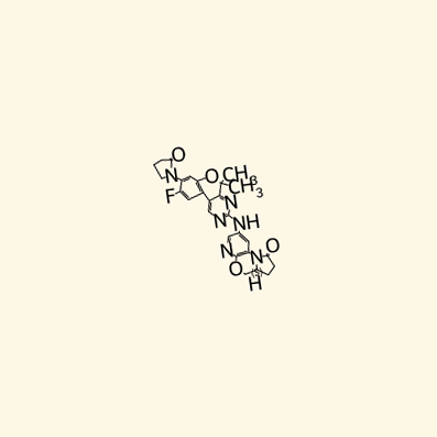 CC1(C)Oc2cc(N3CCCC3=O)c(F)cc2-c2cnc(Nc3cnc4c(c3)N3C(=O)CC[C@H]3CO4)nc21